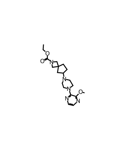 CCOC(=O)N1CC2(CCC(N3CCN(c4nccnc4OC)CC3)C2)C1